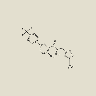 Nc1ccc(-c2cnc(C(F)(F)F)nc2)cc1C(=O)N(N)Cc1noc(C2CC2)n1